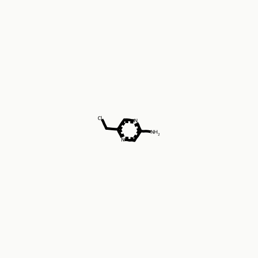 Nc1cnc(CCl)cn1